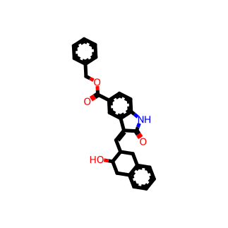 O=C1Nc2ccc(C(=O)OCc3ccccc3)cc2C1=CC1Cc2ccccc2CC1O